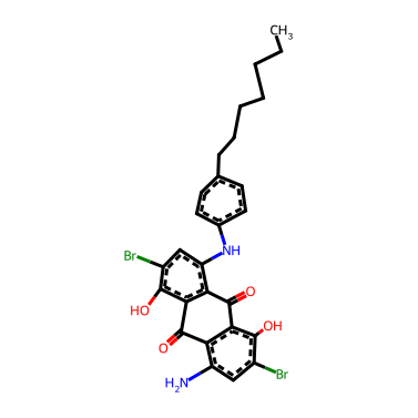 CCCCCCCc1ccc(Nc2cc(Br)c(O)c3c2C(=O)c2c(O)c(Br)cc(N)c2C3=O)cc1